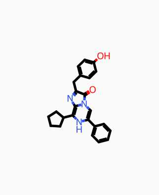 O=c1c(Cc2ccc(O)cc2)nc2c(C3CCCC3)[nH]c(-c3ccccc3)cn1-2